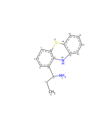 CCC(N)c1cccc2c1Nc1ccccc1S2